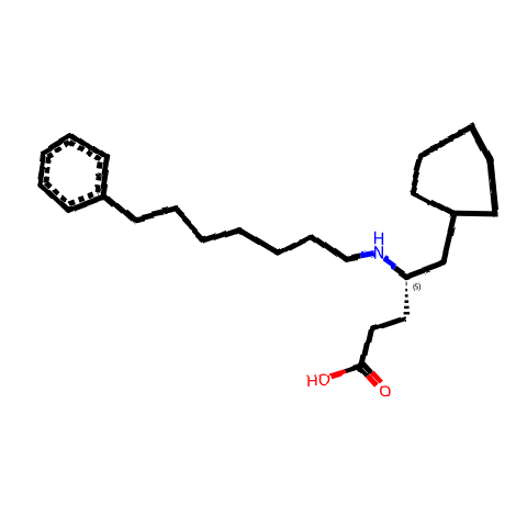 O=C(O)CC[C@@H](CC1CCCCC1)NCCCCCCCc1ccccc1